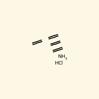 C=C.C=C.C=C.C=C.Cl.N